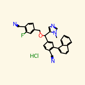 Cl.Cn1cncc1C(OCc1ccc(C#N)c(F)c1)c1ccc(C#N)c(-c2cccc3ccccc23)c1